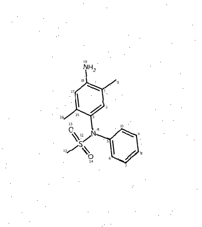 Cc1cc(N(c2ccccc2)S(C)(=O)=O)c(C)cc1N